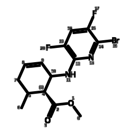 COC(=O)[C@H]1C(C)CC=CC1Nc1nc(Br)c(F)cc1F